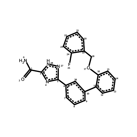 NC(=O)c1nc(-c2cccc(-c3ccccc3OCc3ccccc3F)c2)n[nH]1